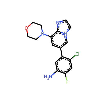 Nc1cc(-c2cc(N3CCOCC3)c3nccn3c2)c(Cl)cc1F